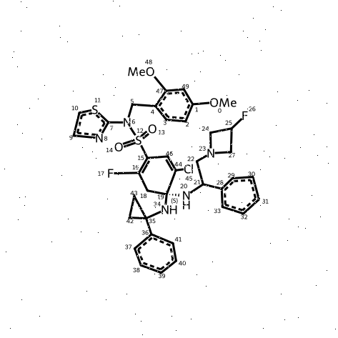 COc1ccc(CN(c2nccs2)S(=O)(=O)C2=C(F)C[C@](NC(CN3CC(F)C3)c3ccccc3)(NC3(c4ccccc4)CC3)C(Cl)=C2)c(OC)c1